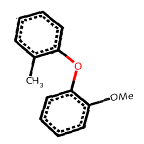 COc1ccccc1Oc1cc[c]cc1C